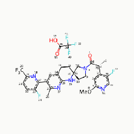 COc1cc([C@@H](C)C(=O)N2CC[C@@]3(CCc4cc(-c5nc(C(F)(F)F)ccc5F)c(C)nc4N3)C2)c(F)cn1.O=C(O)C(F)(F)F